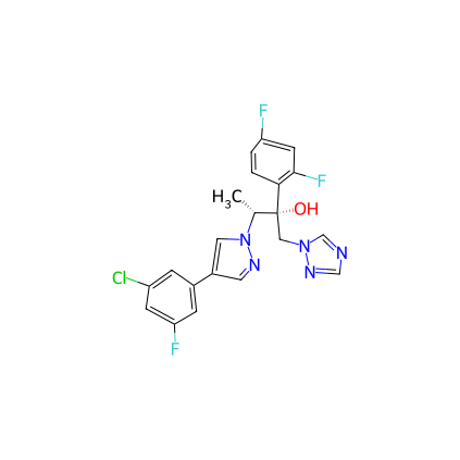 C[C@@H](n1cc(-c2cc(F)cc(Cl)c2)cn1)[C@](O)(Cn1cncn1)c1ccc(F)cc1F